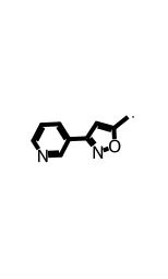 [CH2]c1cc(-c2cccnc2)no1